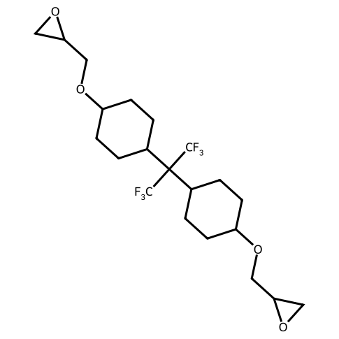 FC(F)(F)C(C1CCC(OCC2CO2)CC1)(C1CCC(OCC2CO2)CC1)C(F)(F)F